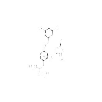 CC(=O)N1CC(=S)C[C@H]1C(=O)O.N[C@@H](Cc1ccc(OCc2cc(Cl)cc(Cl)c2)cc1)C(=O)O